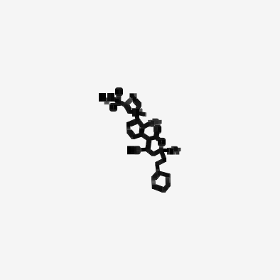 CCCc1c(C2=C(O)CC(CCC)(CCc3ccccc3)OC2=O)cccc1[N+]1(C)C=NC(S(N)(=O)=O)=C1